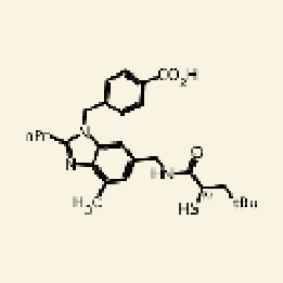 CCCc1nc2c(C)cc(CNC(=O)[C@H](S)CC(C)(C)C)cc2n1Cc1ccc(C(=O)O)cc1